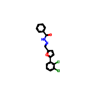 O=C(N/N=C/c1ccc(-c2cccc(Cl)c2Cl)o1)c1ccccc1